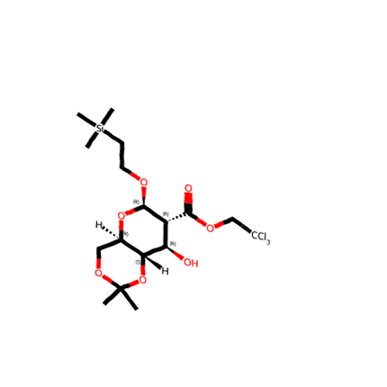 CC1(C)OC[C@H]2O[C@@H](OCC[Si](C)(C)C)[C@H](C(=O)OCC(Cl)(Cl)Cl)[C@@H](O)[C@@H]2O1